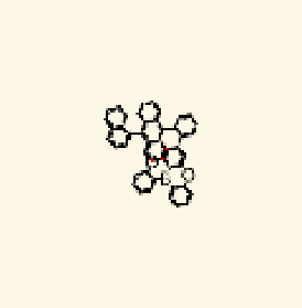 c1ccc2c(c1)Oc1cc(-c3ccccc3-c3c4ccccc4c(-c4cccc5ccccc45)c4ccccc34)cc3c1B2c1ccccc1O3